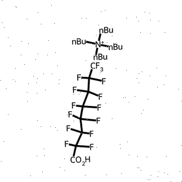 CCCC[N+](CCCC)(CCCC)CCCC.O=C(O)C(F)(F)C(F)(F)C(F)(F)C(F)(F)C(F)(F)C(F)(F)C(F)(F)F